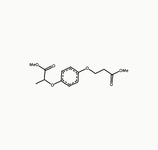 COC(=O)CCOc1ccc(OC(C)C(=O)OC)cc1